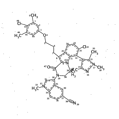 Cc1cc(OCCCc2c3n(c4c(-c5c(C)nn(C)c5C)c(Cl)ccc24)C(C)CN(c2cn(C)c4ccc(C#N)cc24)C3=O)cc(C)c1Cl